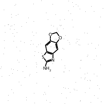 Nc1nc2cc3c(cc2s1)OCO3